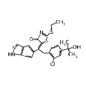 CCSC1=NC(=O)C(=C(Cc2ccc(C(C)(C)O)cc2Cl)c2ccc3[nH]ncc3c2)S1